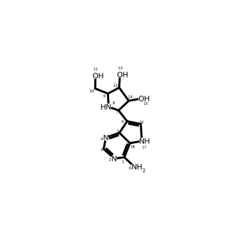 Nc1ncnc2c(C3NC(CO)C(O)C3O)c[nH]c12